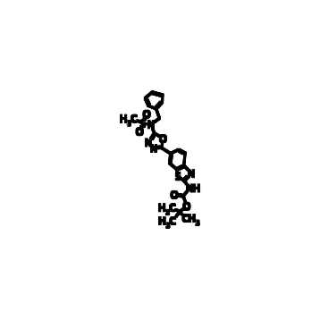 CC(C)(C)OC(=O)Nc1nc2ccc(-c3nnc(N(Cc4ccccc4)S(C)(=O)=O)o3)cc2s1